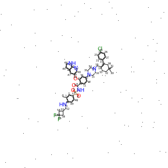 Cc1cc(S(=O)(=O)NC(=O)c2ccc(N3CCN(CC4=C(c5ccc(Cl)cc5)CC(C)(C)CC4)CC3)cc2Oc2cnc3[nH]ccc3c2)ccc1NCC1CC(F)(F)C1